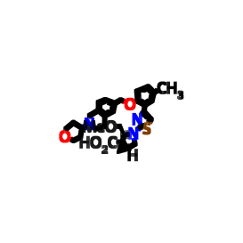 COC[C@H]1N(c2nc(-c3cc(C)ccc3OCc3ccc4c(c3)CCN(C3CCOCC3)C4)cs2)C[C@@H]2C[C@@]21C(=O)O